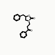 O=C(CCN1CC(Cc2ccccc2)OC1=O)c1ccccc1